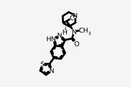 CN(C(=O)c1n[nH]c2cc(-c3nccs3)ccc12)[C@@H]1CN2CCC1CC2